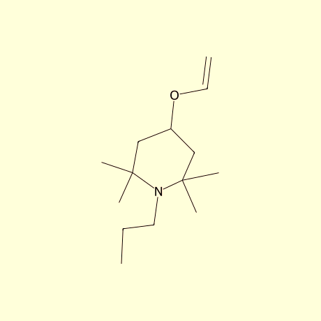 C=COC1CC(C)(C)N(CCC)C(C)(C)C1